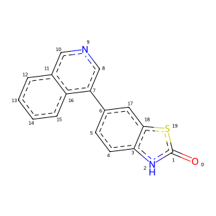 O=c1[nH]c2ccc(-c3cncc4ccccc34)cc2s1